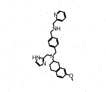 COc1ccc2c(c1)CC(N(Cc1ccc(CNCc3ccccn3)cc1)Cc1ncc[nH]1)CC2